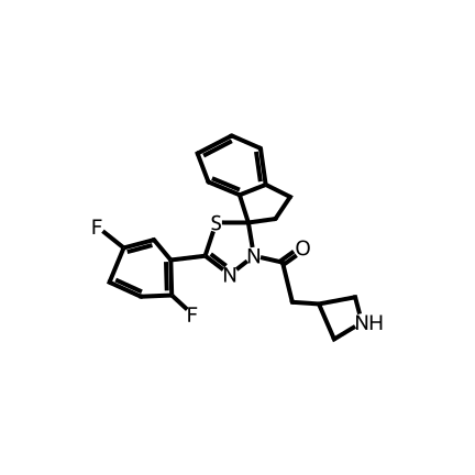 O=C(CC1CNC1)N1N=C(c2cc(F)ccc2F)SC12CCc1ccccc12